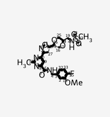 COc1cc(CNC(=O)c2cc(C3=NO[C@H]([C@H]4CO[C@H](CNS(C)(=O)=O)CO4)C3)nc(C)n2)ccc1F